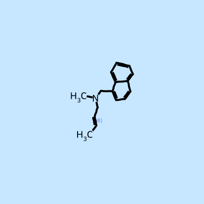 C/C=C/CN(C)Cc1cccc2ccccc12